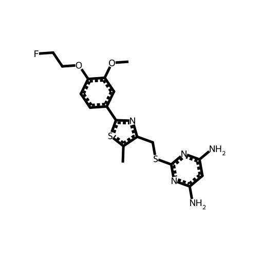 COc1cc(-c2nc(CSc3nc(N)cc(N)n3)c(C)s2)ccc1OCCF